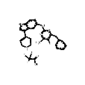 Nc1nc(Nc2ccc3[nH]cc(C4=CCNCC4)c3c2)nc(Cc2ccccc2)c1Br.O=C(O)C(F)(F)F